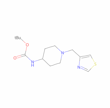 CC(C)(C)OC(=O)NC1CCN(Cc2cscn2)CC1